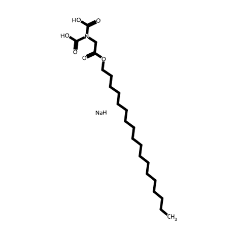 CCCCCCCCCCCCCCCCCCOC(=O)CN(C(=O)O)C(=O)O.[NaH]